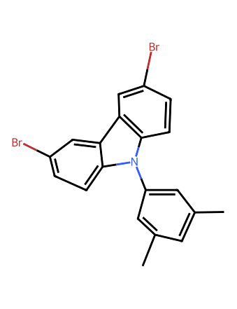 Cc1cc(C)cc(-n2c3ccc(Br)cc3c3cc(Br)ccc32)c1